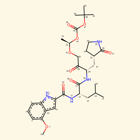 COc1cccc2[nH]c(C(=O)N[C@@H](CC(C)C)C(=O)N[C@@H](C[C@@H]3CCNC3=O)C(=O)CO[C@@H](C)OC(=O)OC(C)(C)C)cc12